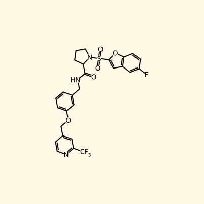 O=C(NCc1cccc(OCc2ccnc(C(F)(F)F)c2)c1)C1CCCN1S(=O)(=O)c1cc2cc(F)ccc2o1